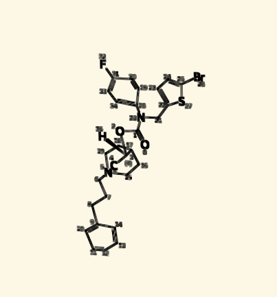 O=C(O[C@H]1C[N+]2(CCCc3ccccc3)CCC1CC2)N(Cc1ccc(Br)s1)c1ccc(F)cc1